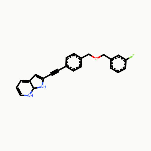 Fc1cccc(COCc2ccc(C#CC3=CC4=CC=CNC4N3)cc2)c1